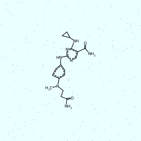 CN(CCC(N)=O)c1ccc(Nc2ncc(C(N)=O)c(NC3CC3)n2)cc1